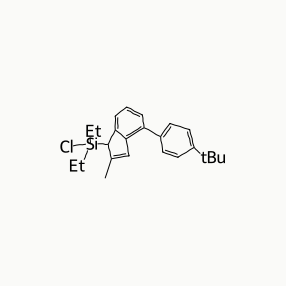 CC[Si](Cl)(CC)C1C(C)=Cc2c(-c3ccc(C(C)(C)C)cc3)cccc21